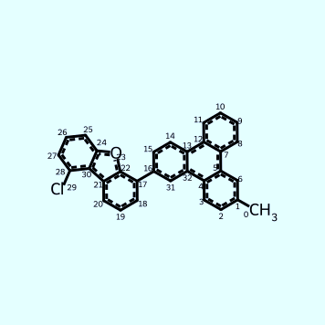 Cc1ccc2c(c1)c1ccccc1c1ccc(-c3cccc4c3oc3cccc(Cl)c34)cc12